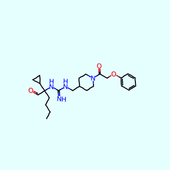 CCCCC(C=O)(NC(=N)NCC1CCN(C(=O)COc2ccccc2)CC1)C1CC1